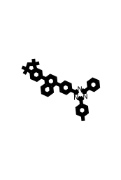 Cc1ccc(-c2nc(-c3ccccc3)nc(-c3ccc(-c4ccc(-c5ccc6c(c5)C(C)(C)CC6(C)C)c5ccccc45)cc3)n2)cc1